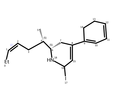 CC/C=C\C[C@H](C)[C@@H]1CC(C2=CC=CCC2)=CC(I)N1